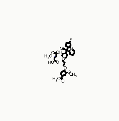 COc1cc(C(C)=O)ccc1OCCCN1CCC(C(C#N)(c2ccc(F)cc2)c2ccccn2)CC1.O.O=C(O)/C=C/C(=O)O